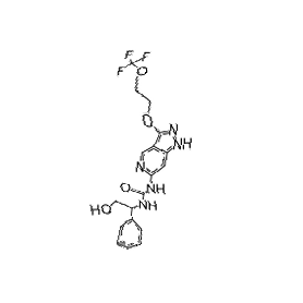 O=C(Nc1cc2[nH]nc(OCCOC(F)(F)F)c2cn1)NC(CO)c1ccccc1